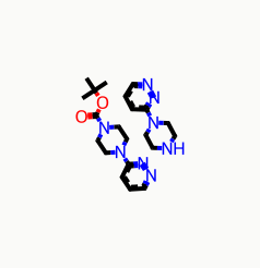 CC(C)(C)OC(=O)N1CCN(c2cccnn2)CC1.c1cnnc(N2CCNCC2)c1